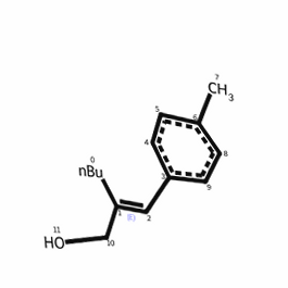 CCCC/C(=C\c1ccc(C)cc1)CO